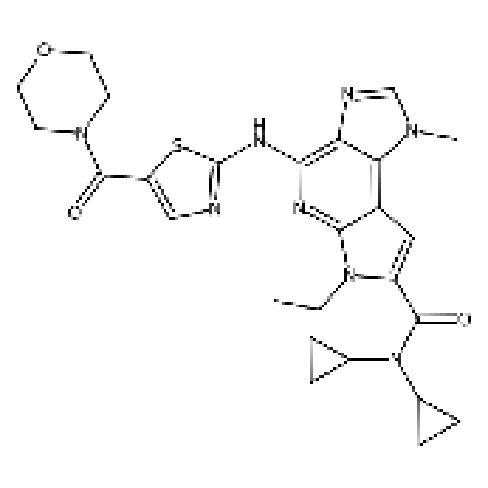 CCn1c(C(=O)N(C2CC2)C2CC2)cc2c3c(ncn3C)c(Nc3ncc(C(=O)N4CCOCC4)s3)nc21